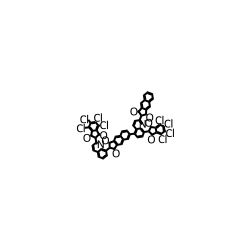 O=C1c2cc3ccccc3cc2C(=O)C1c1ccc2c(-c3ccc4cc5c(cc4c3)C(=O)C(c3cccc4ccc(C6C(=O)c7c(Cl)c(Cl)c(Cl)c(Cl)c7C6=O)nc34)C5=O)ccc(C3C(=O)c4c(Cl)c(Cl)c(Cl)c(Cl)c4C3=O)c2n1